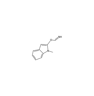 Cn1c(OC=N)cc2ccccc21